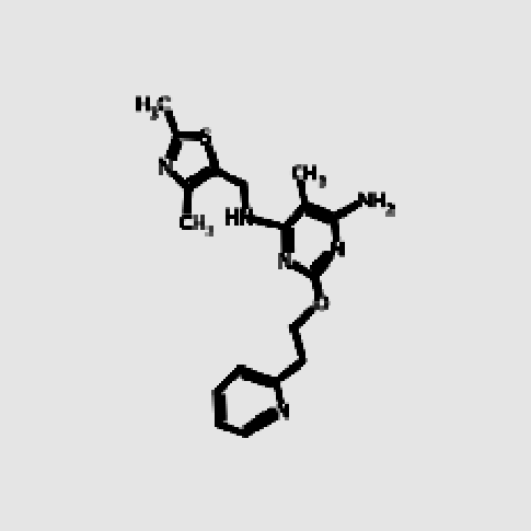 Cc1nc(C)c(CNc2nc(OCCc3ccccn3)nc(N)c2C)s1